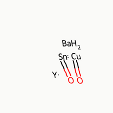 [BaH2].[O]=[Cu].[O]=[Sn].[Y]